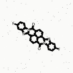 O=c1c2ccc3c4c(ccc(c24)c2nc4cc(F)ccc4n12)c(=O)n1c2ccc(F)cc2nc31